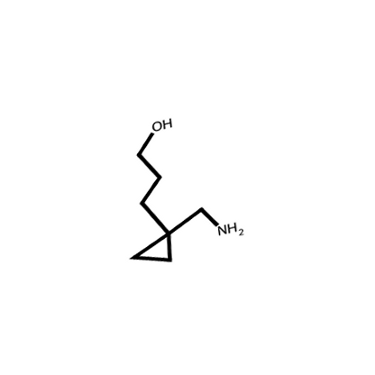 NCC1(CCCO)CC1